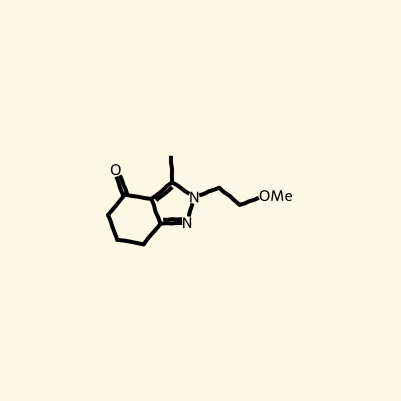 COCCn1nc2c(c1C)C(=O)CCC2